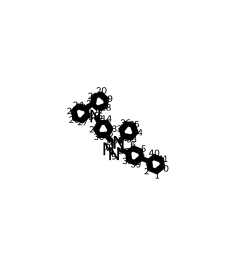 c1ccc(-c2ccc(-c3nnc(-c4ccc(-n5c6ccccc6c6ccccc65)cc4)n3-c3ccccc3)cc2)cc1